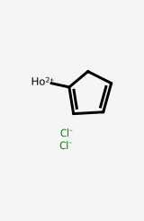 [Cl-].[Cl-].[Ho+2][C]1=CC=CC1